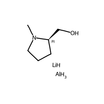 CN1CCC[C@@H]1CO.[AlH3].[LiH]